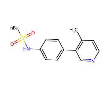 CCCCS(=O)(=O)Nc1ccc(-c2cnccc2C)cc1